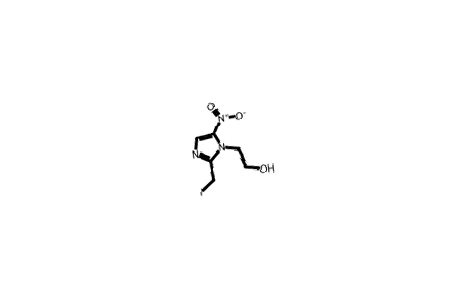 O=[N+]([O-])c1cnc(CI)n1CCO